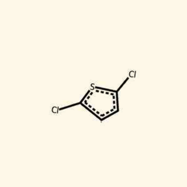 Clc1[c]cc(Cl)s1